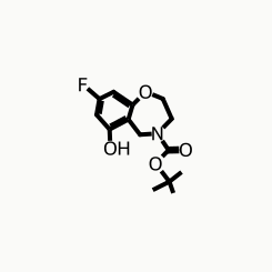 CC(C)(C)OC(=O)N1CCOc2cc(F)cc(O)c2C1